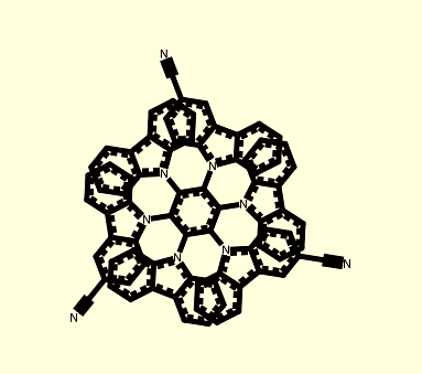 N#Cc1ccc2c(c1)c1ccccc1n2-c1c(-n2c3ccccc3c3ccccc32)c(-n2c3ccccc3c3cc(C#N)ccc32)c(-n2c3ccccc3c3ccccc32)c(-n2c3ccccc3c3cc(C#N)ccc32)c1-n1c2ccccc2c2ccccc21